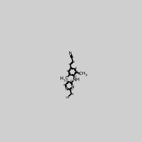 Cc1cc(/C=C/C#N)cc(C)c1Nc1ccnc(CI)n1